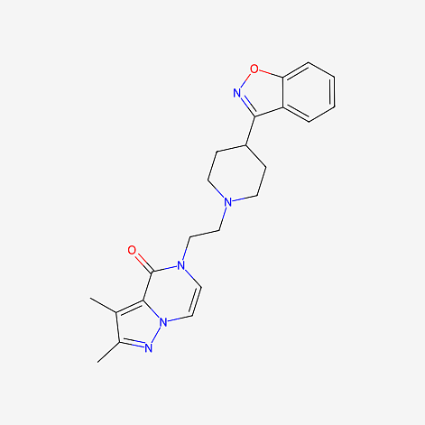 Cc1nn2ccn(CCN3CCC(c4noc5ccccc45)CC3)c(=O)c2c1C